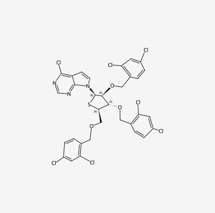 Clc1ccc(COC[C@H]2S[C@@H](n3ccc4c(Cl)ncnc43)[C@@H](OCc3ccc(Cl)cc3Cl)[C@@H]2OCc2ccc(Cl)cc2Cl)c(Cl)c1